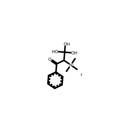 C[N+](C)(C)C(C(=O)c1ccccc1)C(O)(O)O.[I-]